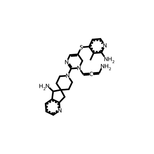 Cc1c(SC2=CN=C(N3CCC4(CC3)Cc3ncccc3C4N)N(C=C=CN)C2)ccnc1N